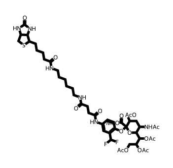 COC(=O)C1(Oc2ccc(NC(=O)CCC(=O)NCCCCCCNC(=O)CCCCC3SCC4NC(=O)NC43)cc2C(F)F)OC(C(OC(C)=O)C(COC(C)=O)OC(C)=O)C(NC(C)=O)CC1OC(C)=O